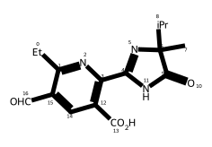 CCc1nc(C2=NC(C)(C(C)C)C(=O)N2)c(C(=O)O)cc1C=O